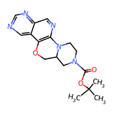 CC(C)(C)OC(=O)N1CCN2c3ncc4ncncc4c3OCC2C1